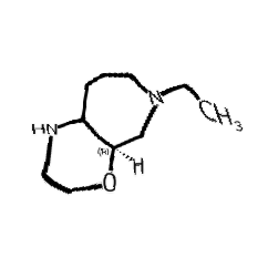 CCN1CCC2NCCO[C@@H]2C1